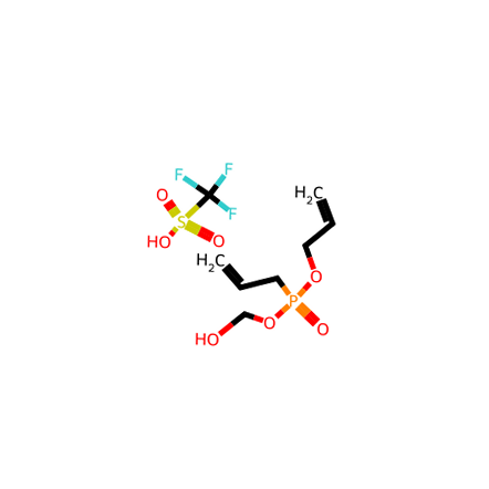 C=CCOP(=O)(CC=C)OCO.O=S(=O)(O)C(F)(F)F